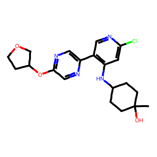 CC1(O)CCC(Nc2cc(Cl)ncc2-c2cnc(OC3CCOC3)cn2)CC1